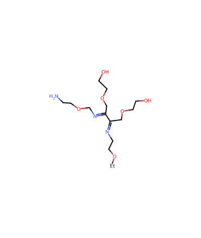 CCOCC/N=C(COCCO)/C(COCCO)=N/COCCN